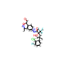 CC1=NOC(C=O)c2ccc(NC(=O)C(O)(CC(C)(C)c3cccc(F)c3Cl)C(F)(F)F)cc21